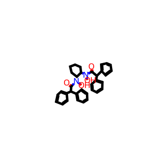 O=C(C(c1ccccc1)c1ccccc1)N(O)C1CCCC[C@H]1N(O)C(=O)C(c1ccccc1)c1ccccc1